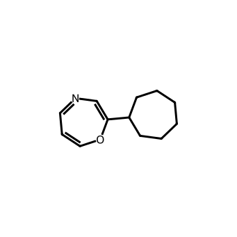 C1=COC(C2CCCCCC2)=CN=C1